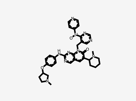 CN1CCC(Oc2ccc(Nc3ncc4cc(C5CCCCN5C)c(=O)n(Cc5cncnc5[S+]([O-])c5ccncc5)c4n3)cc2)C1